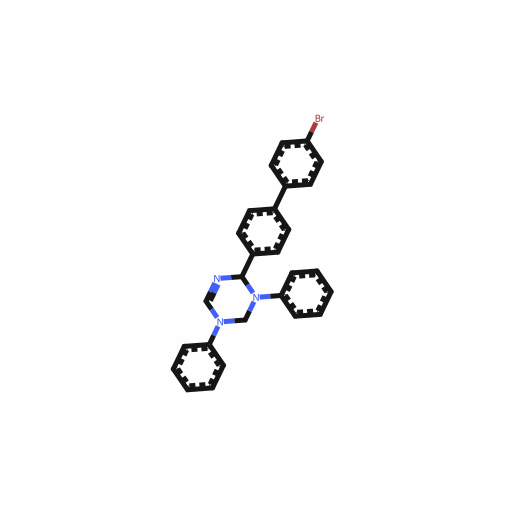 Brc1ccc(-c2ccc(C3N=CN(c4ccccc4)CN3c3ccccc3)cc2)cc1